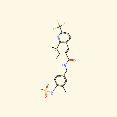 CC[C@@H](C)c1nc(C(F)(F)F)ccc1C=CC(=O)NCc1ccc(NS(C)(=O)=O)c(C)c1